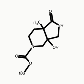 CC(C)(C)OC(=O)N1CCC2(C)C(=O)NCC2(O)C1